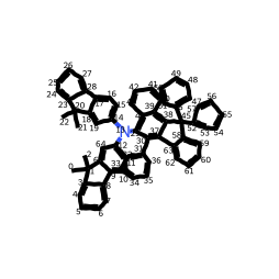 CC1(C)c2ccccc2-c2ccc(N(c3ccc4c(c3)C(C)(C)c3ccccc3-4)c3c(-c4ccccc4)c4c(c5ccccc35)C(c3ccccc3)(c3ccccc3)c3ccccc3-4)cc21